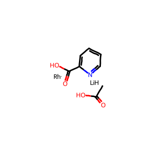 CC(=O)O.O=C(O)c1ccccn1.[LiH].[Rh]